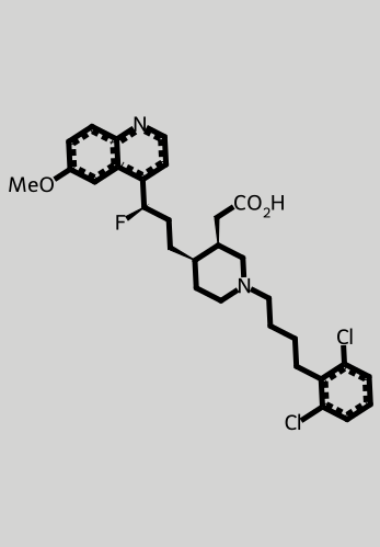 COc1ccc2nccc([C@H](F)CC[C@@H]3CCN(CCCCc4c(Cl)cccc4Cl)C[C@@H]3CC(=O)O)c2c1